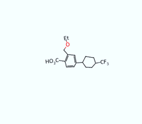 CCOCc1cc(C2CCC(C(F)(F)F)CC2)ccc1C(=O)O